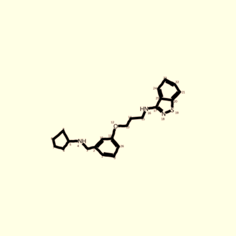 c1cc(CNC2CCCC2)cc(OCCCNc2nsc3ccccc23)c1